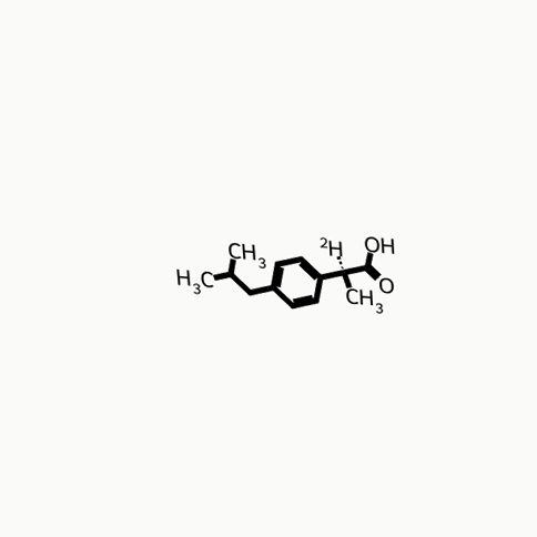 [2H][C@@](C)(C(=O)O)c1ccc(CC(C)C)cc1